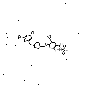 CS(=O)(=O)NC(=O)C1=C(F)CC(OCC2CCN(Cc3cc(Cl)cc(C4CC4)n3)CC2)C(C2CC2)=C1